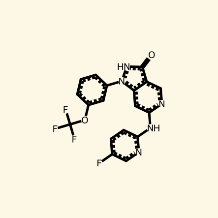 O=c1[nH]n(-c2cccc(OC(F)(F)F)c2)c2cc(Nc3ccc(F)cn3)ncc12